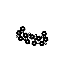 c1ccc2c(c1)Oc1cc(-n3c4ccccc4c4ccc5sc6ccccc6c5c43)cc3c1B2c1cc2c(cc1O3)Oc1cc(-n3c4ccccc4c4ccc5sc6ccccc6c5c43)cc3c1B2c1ccccc1O3